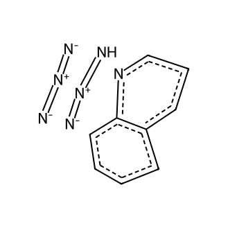 [N-]=[N+]=N.[N-]=[N+]=[N-].c1ccc2ncccc2c1